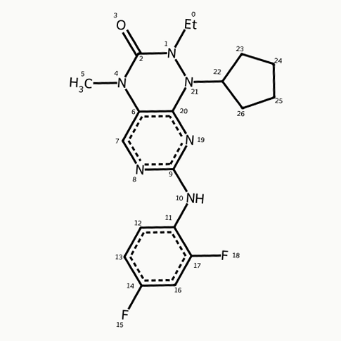 CCN1C(=O)N(C)c2cnc(Nc3ccc(F)cc3F)nc2N1C1CCCC1